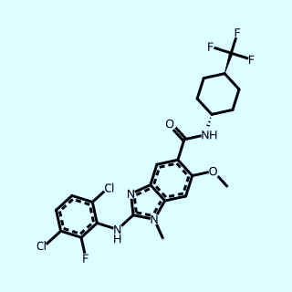 COc1cc2c(cc1C(=O)N[C@H]1CC[C@H](C(F)(F)F)CC1)nc(Nc1c(Cl)ccc(Cl)c1F)n2C